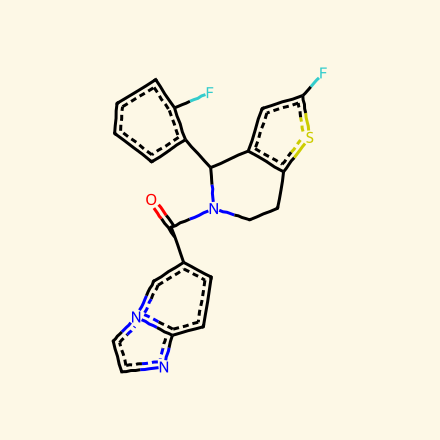 O=C(c1ccc2nccn2c1)N1CCc2sc(F)cc2C1c1ccccc1F